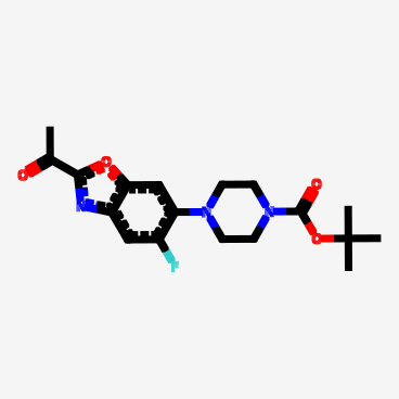 CC(=O)c1nc2cc(F)c(N3CCN(C(=O)OC(C)(C)C)CC3)cc2o1